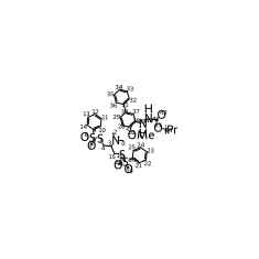 CN(C)C(CSS(=O)(=O)c1ccccc1)CSS(=O)(=O)c1ccccc1.COc1ccc(-c2ccccc2)cc1NNC(=O)OC(C)C